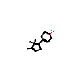 CC1=CCC(C2=CCC(=O)CC2)C1(C)C